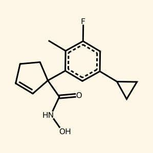 Cc1c(F)cc(C2CC2)cc1C1(C(=O)NO)C=CCC1